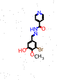 COc1c(O)cc(/C=N/NC(=O)c2ccncc2)cc1Br